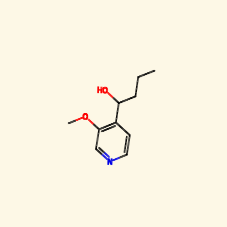 CCCC(O)c1ccncc1OC